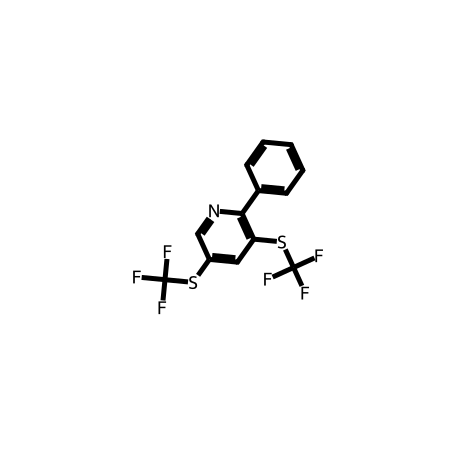 FC(F)(F)Sc1cnc(-c2ccccc2)c(SC(F)(F)F)c1